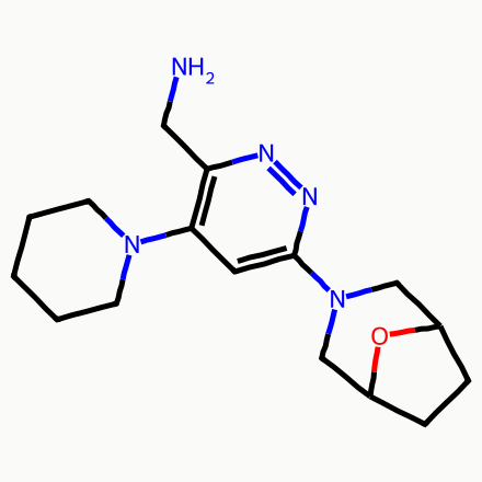 NCc1nnc(N2CC3CCC(C2)O3)cc1N1CCCCC1